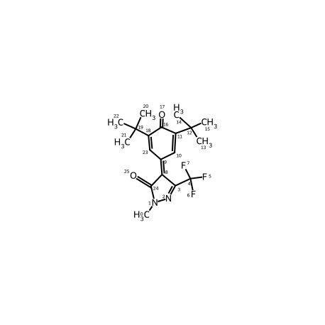 CN1N=C(C(F)(F)F)C(=C2C=C(C(C)(C)C)C(=O)C(C(C)(C)C)=C2)C1=O